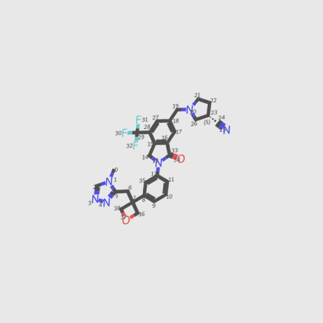 Cn1cnnc1CC1(c2cccc(N3Cc4c(cc(CN5CC[C@H](C#N)C5)cc4C(F)(F)F)C3=O)c2)COC1